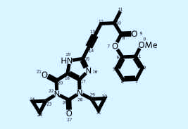 COc1ccccc1OC(=O)C(C)CC#Cc1nc2c([nH]1)c(=O)n(C1CC1)c(=O)n2C1CC1